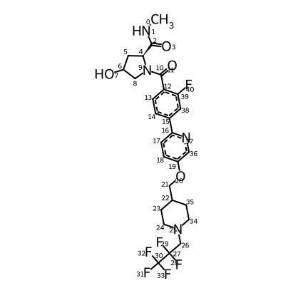 CNC(=O)[C@@H]1CC(O)CN1C(=O)c1ccc(-c2ccc(OCC3CCN(CC(F)(F)C(F)(F)F)CC3)cn2)cc1F